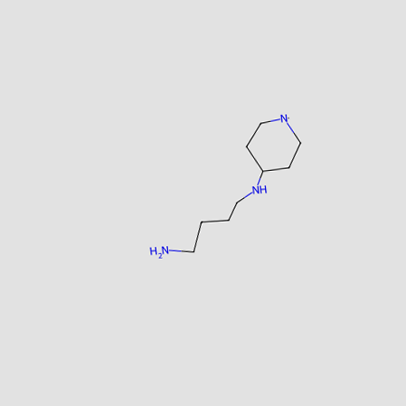 NCCCCNC1CC[N]CC1